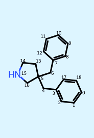 c1ccc(CC2(Cc3ccccc3)CCNC2)cc1